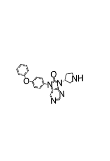 O=c1n(-c2ccc(Oc3ccccc3)cc2)c2cncnc2n1[C@@H]1CCNC1